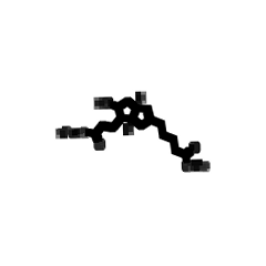 CCCCCC(=O)C=CC1C(O)C[C@H]2C=C(CCCCC(=O)OC)C[C@H]12